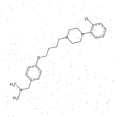 CN(C)Cc1ccc(OCCCCN2CCN(c3ccccc3Cl)CC2)cc1